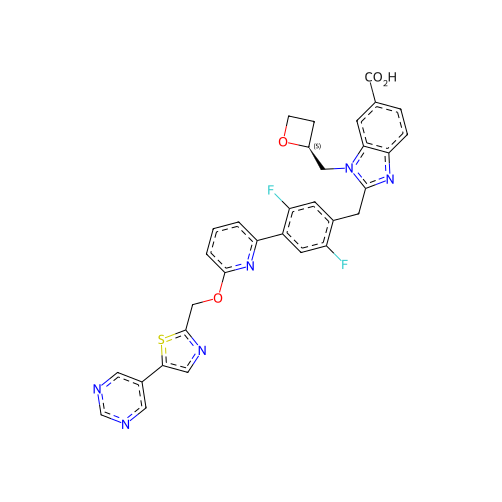 O=C(O)c1ccc2nc(Cc3cc(F)c(-c4cccc(OCc5ncc(-c6cncnc6)s5)n4)cc3F)n(C[C@@H]3CCO3)c2c1